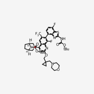 CC(C)(C)OC(=O)Nc1nc2c(-c3c(C(F)(F)F)cc4c(N5C[C@H]6CC[C@@H](C5)N6C(=O)OC(C)(C)C)nc(OCC5(CN6CCOCC6)CC5)nc4c3F)ccc(F)c2s1